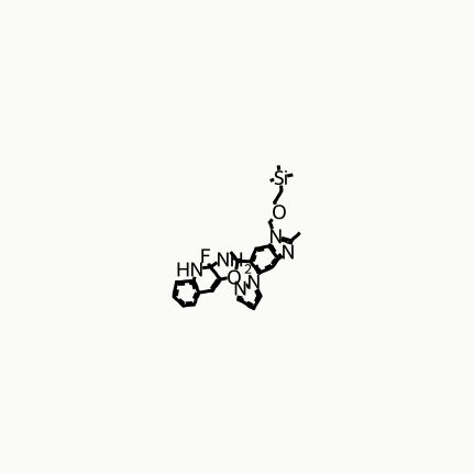 Cc1nc2cc(-n3cccn3)c(C(C)OC3=Cc4ccccc4NC3(N)F)cc2n1COCC[Si](C)(C)C